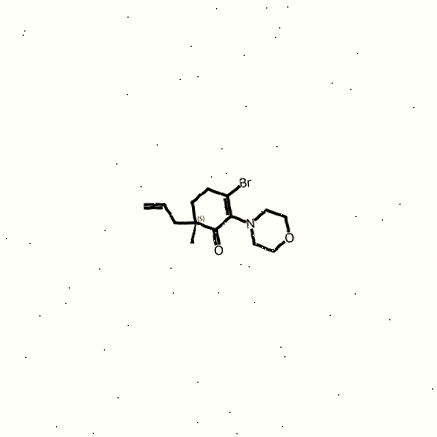 C=CC[C@]1(C)CCC(Br)=C(N2CCOCC2)C1=O